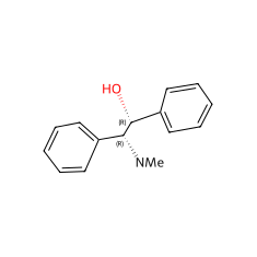 CN[C@H](c1ccccc1)[C@H](O)c1ccccc1